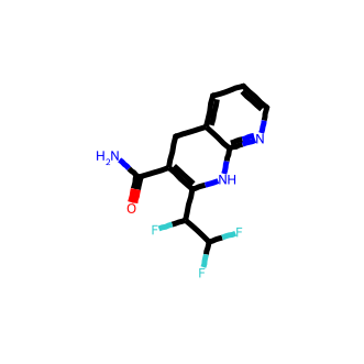 NC(=O)C1=C(C(F)C(F)F)Nc2ncccc2C1